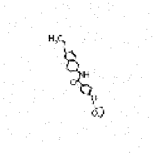 C=CCc1ccc2c(c1)CC[C@H](NC(=O)c1ccc(OC[C@@H]3CCCO3)cc1)C2